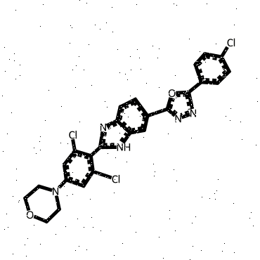 Clc1ccc(-c2nnc(-c3ccc4nc(-c5c(Cl)cc(N6CCOCC6)cc5Cl)[nH]c4c3)o2)cc1